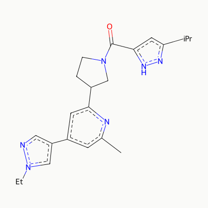 CCn1cc(-c2cc(C)nc(C3CCN(C(=O)c4cc(C(C)C)n[nH]4)C3)c2)cn1